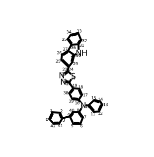 c1ccc(-c2cccc(N(c3ccccc3)c3ccc(-c4nnc(-c5ccc6c(c5)[nH]c5ccccc56)s4)cc3)c2)cc1